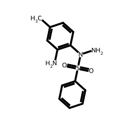 Cc1ccc(N(N)S(=O)(=O)c2ccccc2)c(N)c1